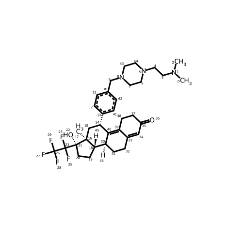 CN(C)CCN1CCN(Cc2ccc([C@H]3C[C@@]4(C)[C@@H](CC[C@@]4(O)C(F)(F)C(F)(F)F)[C@@H]4CCC5=CC(=O)CCC5=C43)cc2)CC1